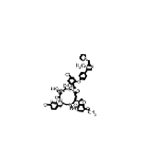 COc1cccc2c1OCC2[C@@H]1CC(=O)N(Cc2ccc(Cl)cc2Oc2ccc(-c3cnc(CN4CCCC4)n3C)cc2)[C@@H](C)C(=O)N[C@@H](CO)C(=O)N(C)[C@H](Cc2ccc(Cl)cc2)CN(C)C1=O